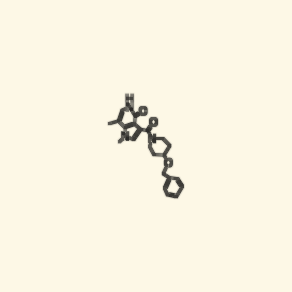 Cc1c[nH]c(=O)c2c(C(=O)N3CCC(OCc4ccccc4)CC3)cn(C)c12